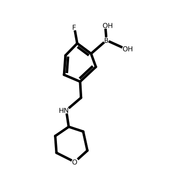 OB(O)c1cc(CNC2CCOCC2)ccc1F